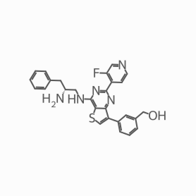 N[C@@H](CNc1nc(-c2ccncc2F)nc2c(-c3cccc(CO)c3)csc12)Cc1ccccc1